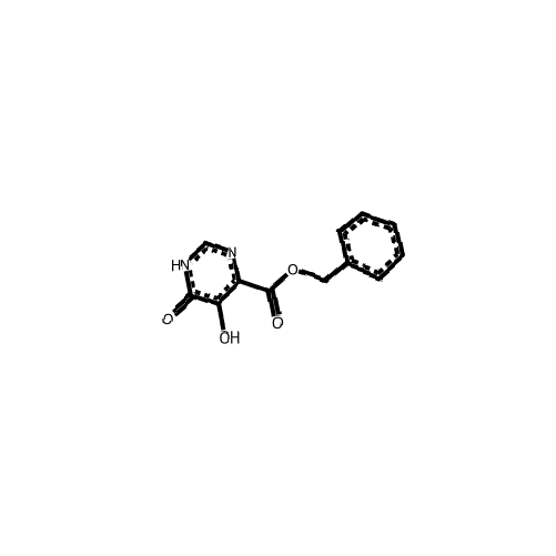 O=C(OCc1ccccc1)c1nc[nH]c(=O)c1O